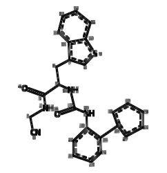 N#CCNC(=O)C(Cc1csc2ccccc12)NC(=O)Nc1ccccc1-c1ccccc1